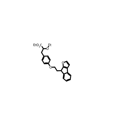 CCOC(=O)C(Cc1ccc(OCCC2c3ccccc3-c3ccoc32)cc1)OCC